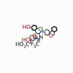 O=C(O)CC(O)(CC(=O)N(CC(Cc1cc(O)ccc1Cl)CN1CCC2(CC1)OCc1ccccc12)CC(F)(F)F)C(=O)O